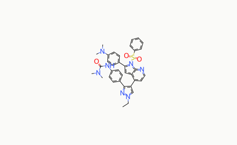 CCn1cc(-c2ccnc3c2cc(-c2ccc(N(C)C)cc2)n3S(=O)(=O)c2ccccc2)c(-c2ccc(NC(=O)N(C)C)cc2)n1